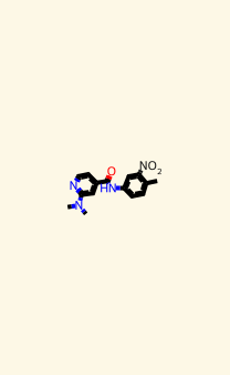 Cc1ccc(NC(=O)c2ccnc(N(C)C)c2)cc1[N+](=O)[O-]